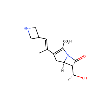 C/C(=C\C1CNC1)C1=C(C(=O)O)N2C(=O)[C@H]([C@@H](C)O)[C@H]2C1